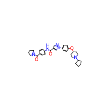 O=C(Nc1ccc(C(=O)N2CCCC2)cc1)c1cnn(-c2ccc(OC3CCN(C4CCCC4)CC3)cc2)c1